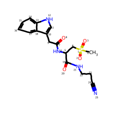 CS(=O)(=O)CC(NC(=O)Cc1c[nH]c2ccccc12)C(=O)NCCC#N